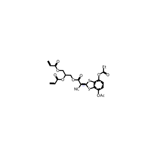 C=CC(=O)OCC(COC(=O)/C(C#N)=C1/Sc2c(OC(C)=O)ccc(OC(=O)CC)c2S1)OC(=O)C=C